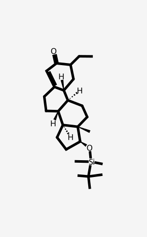 CCC1C[C@H]2C(=CC1=O)CC[C@@H]1[C@@H]2CC[C@]2(C)[C@@H](O[Si](C)(C)C(C)(C)C)CC[C@@H]12